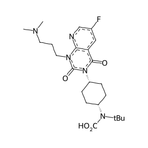 CN(C)CCCn1c(=O)n([C@H]2CC[C@@H](N(C(=O)O)C(C)(C)C)CC2)c(=O)c2cc(F)cnc21